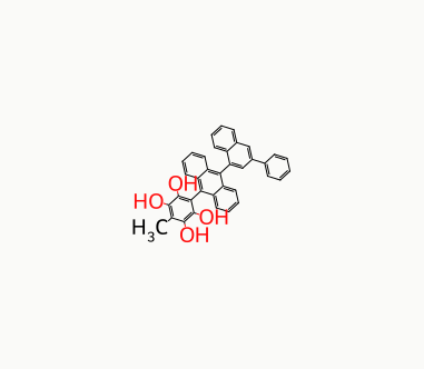 Cc1c(O)c(O)c(-c2c3ccccc3c(-c3cc(-c4ccccc4)cc4ccccc34)c3ccccc23)c(O)c1O